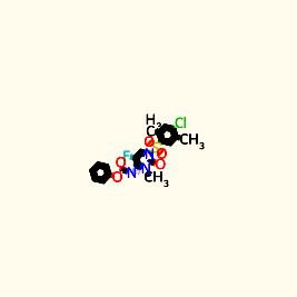 Cc1cc(S(=O)(=O)n2cc(F)/c(=N\C(=O)Oc3ccccc3)n(C)c2=O)c(C)cc1Cl